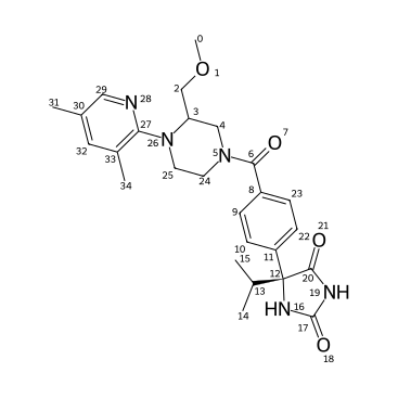 COCC1CN(C(=O)c2ccc([C@@]3(C(C)C)NC(=O)NC3=O)cc2)CCN1c1ncc(C)cc1C